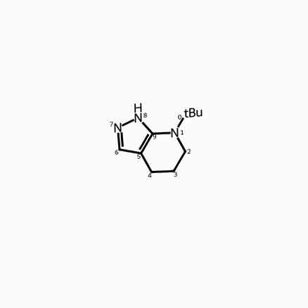 CC(C)(C)N1CCCc2cn[nH]c21